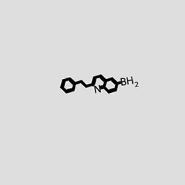 Bc1ccc2nc(CCc3ccccc3)ccc2c1